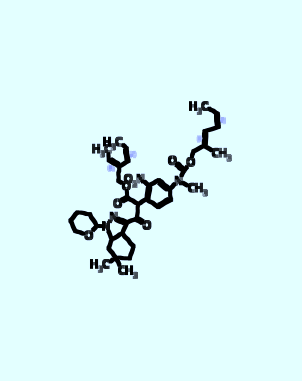 C/C=C\C=C(/C)COC(=O)N(C)c1ccc(C(C(=O)OCC(/C=C\C)=C/C)C(=O)C2=NN(C3CCCCO3)C3CC(C)(C)CCC23)c([N+](=O)[O-])c1